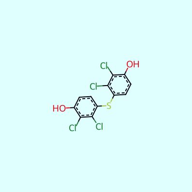 Oc1ccc(Sc2ccc(O)c(Cl)c2Cl)c(Cl)c1Cl